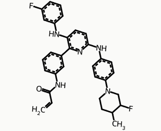 C=CC(=O)Nc1cccc(-c2nc(Nc3ccc(N4CCC(C)C(F)C4)cc3)ccc2Nc2cccc(F)c2)c1